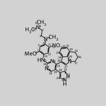 COc1cc(N(C)CCN(C)C)c([N+](=O)[O-])cc1Nc1ncc(-c2cn[nH]c2)c(-c2cn3c4c(cccc24)CCC3)n1